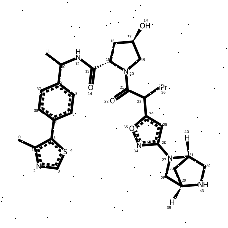 Cc1ncsc1-c1ccc(C(C)NC(=O)[C@@H]2C[C@@H](O)CN2C(=O)C(c2cc(N3C[C@@H]4C[C@H]3CN4)no2)C(C)C)cc1